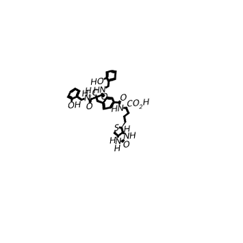 CC(Cc1ccc(C(=O)NC(CCC[C@@H]2SC[C@@H]3NC(=O)N[C@@H]32)C(=O)O)cc1)(C(=O)NCc1ccccc1O)C(=O)NCc1ccccc1O